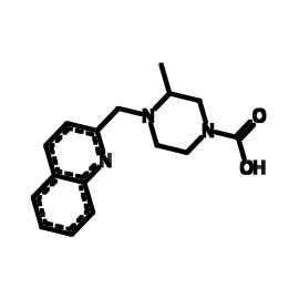 CC1CN(C(=O)O)CCN1Cc1ccc2ccccc2n1